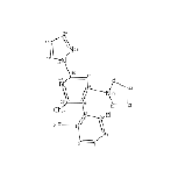 Fc1cccc(Cl)c1-c1c(N2CCCC2)cc(-n2cccn2)nc1Cl